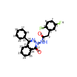 O=C(Cc1cc(F)ccc1F)Nn1nc(-c2ccccc2)c2ccccc2c1=O